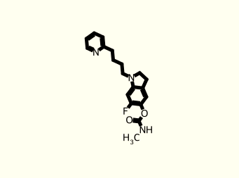 CNC(=O)Oc1cc2c(cc1F)N(CCCCc1ccccn1)CC2